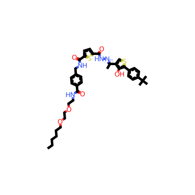 CCCCCCOCCOCCNC(=O)c1ccc(CNC(=O)c2ccc(C(=O)N/N=C(\C)c3csc(-c4ccc(C(C)(C)C)cc4)c3O)s2)cc1